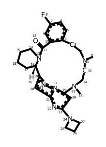 CN1CCc2ccc(F)cc2C(=O)N2CCCC[C@H]2c2cc3nc(N4CCC4)cc(n3n2)N(C)CC1